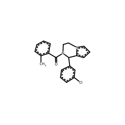 Cc1ccccc1C(=O)N1CCn2cccc2C1c1cccc(Cl)c1